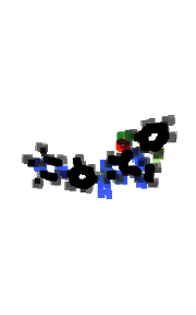 Cc1cc(Nc2ncc3c(=O)n(-c4c(F)cccc4Cl)n4ccnc4c3n2)ccc1N1C[C@@H](C)N(C)[C@@H](C)C1